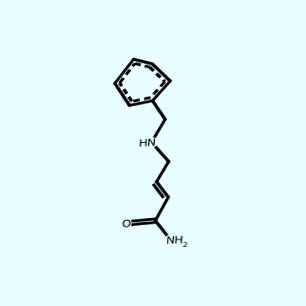 NC(=O)C=CCNCc1ccccc1